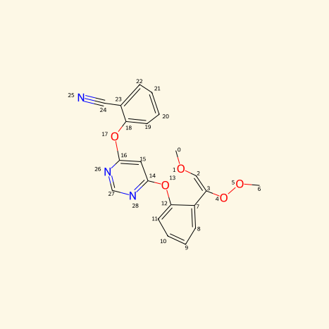 CO/C=C(/OOC)c1ccccc1Oc1cc(Oc2ccccc2C#N)ncn1